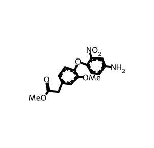 COC(=O)Cc1ccc(Oc2ccc(N)cc2[N+](=O)[O-])c(OC)c1